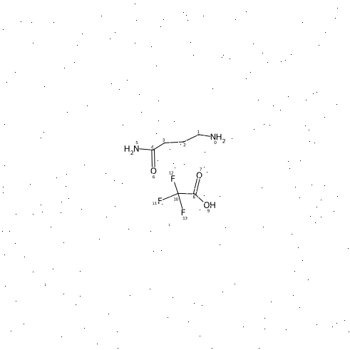 NCCCC(N)=O.O=C(O)C(F)(F)F